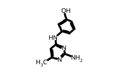 Cc1cc(Nc2cccc(O)c2)nc(N)n1